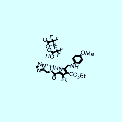 CCOC(=O)c1c(CNc2ccc(OC)cc2)[nH]c(C(=O)NCC2=NC=N[N+]2)c1CC.O=C(O)C(F)(F)F.O=C([O-])C(F)(F)F